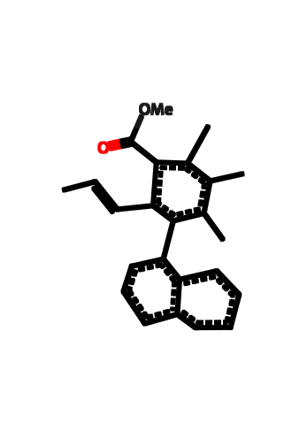 CC=Cc1c(C(=O)OC)c(C)c(C)c(C)c1-c1cccc2ccccc12